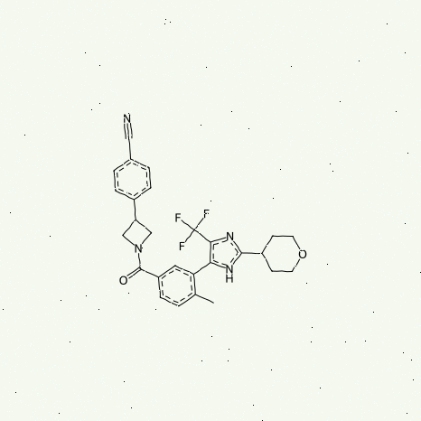 Cc1ccc(C(=O)N2CC(c3ccc(C#N)cc3)C2)cc1-c1[nH]c(C2CCOCC2)nc1C(F)(F)F